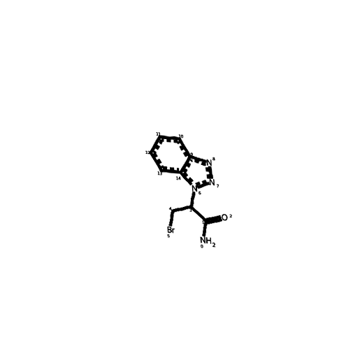 NC(=O)C(CBr)n1nnc2ccccc21